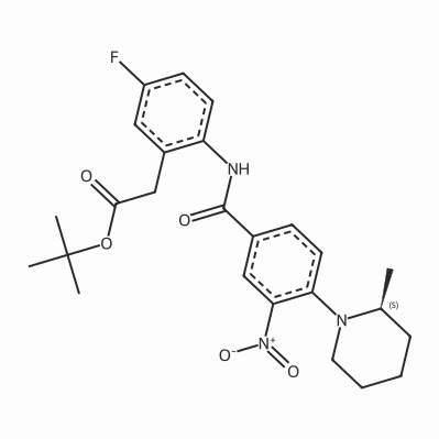 C[C@H]1CCCCN1c1ccc(C(=O)Nc2ccc(F)cc2CC(=O)OC(C)(C)C)cc1[N+](=O)[O-]